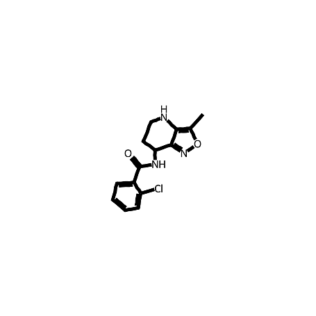 Cc1onc2c1NCCC2NC(=O)c1ccccc1Cl